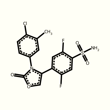 Cc1cc(-n2c(-c3cc(F)c(S(N)(=O)=O)cc3F)coc2=O)ccc1Cl